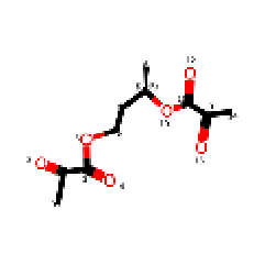 CC(=O)C(=O)OCC[C@@H](C)OC(=O)C(C)=O